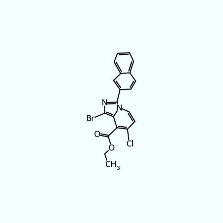 CCOC(=O)c1c(Cl)ccn2c(-c3ccc4ccccc4c3)nc(Br)c12